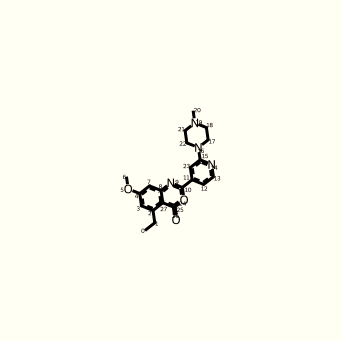 CCc1cc(OC)cc2nc(-c3ccnc(N4CCN(C)CC4)c3)oc(=O)c12